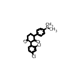 CN(C)c1ccc(C2CCC(=O)C(c3ccc(Cl)cc3Cl)C2=O)cc1